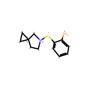 Pc1ccccc1SN1CCC2(CC2)C1